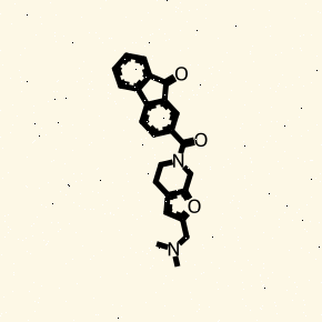 CN(C)Cc1cc2c(o1)CN(C(=O)c1ccc3c(c1)C(=O)c1ccccc1-3)CC2